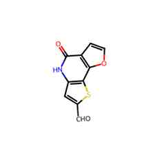 O=Cc1cc2[nH]c(=O)c3ccoc3c2s1